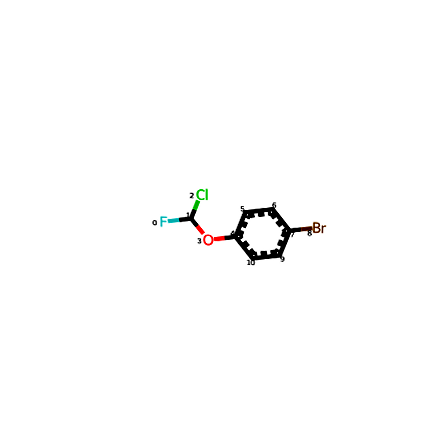 FC(Cl)Oc1ccc(Br)cc1